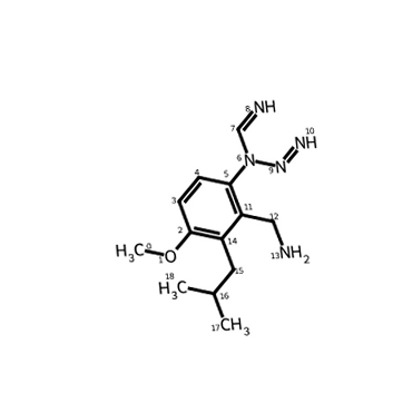 COc1ccc(N(C=N)N=N)c(CN)c1CC(C)C